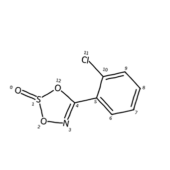 O=S1ON=C(c2ccccc2Cl)O1